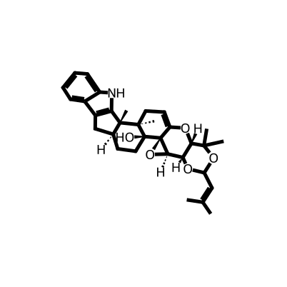 CC(C)=CC1O[C@H]2[C@H]3O[C@@]34C(=CC[C@@]3(C)[C@@]4(O)CC[C@H]4Cc5c([nH]c6ccccc56)[C@@]43C)O[C@@H]2C(C)(C)O1